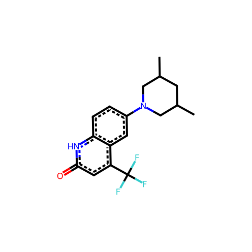 CC1CC(C)CN(c2ccc3[nH]c(=O)cc(C(F)(F)F)c3c2)C1